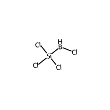 ClB[Si](Cl)(Cl)Cl